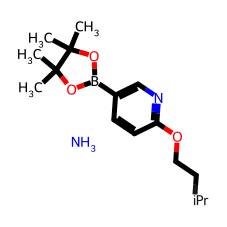 CC(C)CCOc1ccc(B2OC(C)(C)C(C)(C)O2)cn1.N